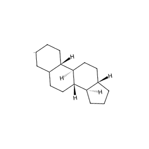 [CH]1CC[C@H]2C(C1)CC[C@H]1[C@@H]3CCC[C@H]3CC[C@@H]12